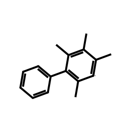 Cc1[c]c(C)c(-c2ccccc2)c(C)c1C